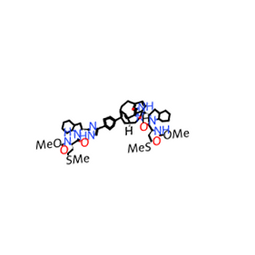 COC(=O)N[C@@H](CCSC)C(=O)N1C2CCCCC2C[C@H]1c1nc(C2=CC3=C(c4ccc(-c5c[nH]c([C@@H]6CC7CCCCC7N6C(=O)[C@H](CCSC)NC(=O)OC)n5)cc4)C[C@@H]2CC[C@@H]2C=CC(=CC2)CC3)c[nH]1